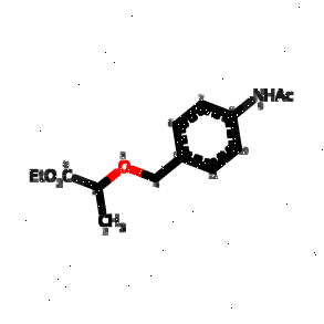 CCOC(=O)C(C)OCc1ccc(NC(C)=O)cc1